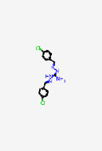 NC(=NN=Cc1ccc(Cl)cc1)N/N=C/c1ccc(Cl)cc1